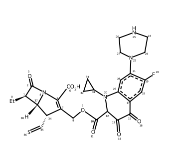 CC[C@H]1C(=O)N2C(C(=O)O)=C(COC(=O)C3C(=O)C(=O)c4cc(F)c(N5CCNCC5)cc4N3C3CC3)[C@H](C=S)[C@H]12